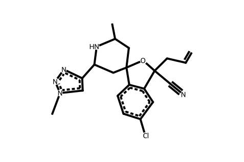 C=CCC1(C#N)OC2(CC(C)NC(c3cn(C)nn3)C2)c2ccc(Cl)cc21